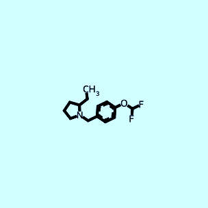 CCC1CCCN1Cc1ccc(OC(F)F)cc1